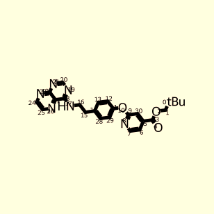 CC(C)(C)COC(=O)c1ccnc(Oc2ccc(CCNc3ncnc4nccnc34)cc2)c1